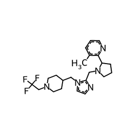 Cc1cccnc1C1CCCN1Cc1nccn1CC1CCN(CC(F)(F)F)CC1